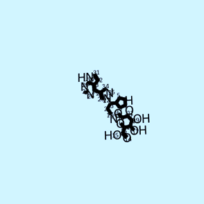 N#CCC(C1CCCC1OC1OC(C(=O)O)C(O)C(O)C1O)n1cc(-c2ncnc3[nH]ccc23)cn1